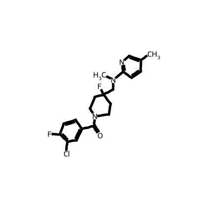 Cc1ccc(N(C)CC2(F)CCN(C(=O)c3ccc(F)c(Cl)c3)CC2)nc1